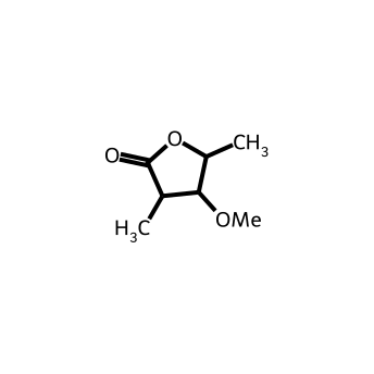 COC1C(C)OC(=O)C1C